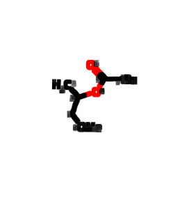 COCC(C)OC(=O)C(C)(C)C